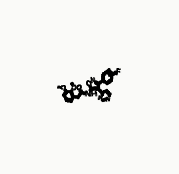 COc1cccc(CC(=O)Nc2onc(-c3ccc(F)cc3)c2-c2ccncn2)c1OC